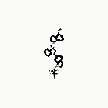 COc1cccc2c1CCC[C@H]2C[N+](C)(CCc1ccc2c(c1)N(NS(=O)(=O)C(F)(F)F)CC2)c1ccccc1